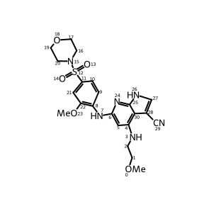 COCCNc1cc(Nc2ccc(S(=O)(=O)N3CCOCC3)cc2OC)nc2[nH]cc(C#N)c12